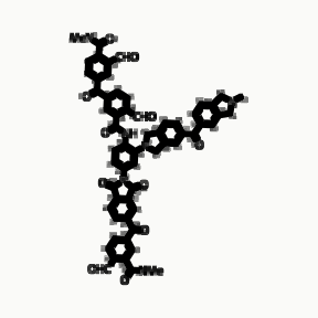 CNC(=O)c1ccc(C(=O)c2ccc(C=O)c(C(=O)Nc3ccc(N4C(=O)c5ccc(C(=O)c6ccc(C=O)c(C(=O)NC)c6)cc5C4=O)cc3N3Cc4ccc(C(=O)c5ccc6c(c5)CN(C)C6)cc4C3)c2)cc1C=O